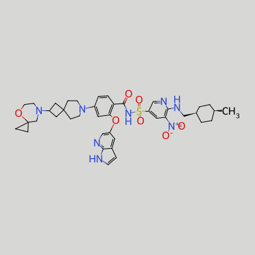 C[C@H]1CC[C@@H](CNc2ncc(S(=O)(=O)NC(=O)c3ccc(N4CCC5(CC4)CC(N4CCOC6(CC6)C4)C5)cc3Oc3cnc4[nH]ccc4c3)cc2[N+](=O)[O-])CC1